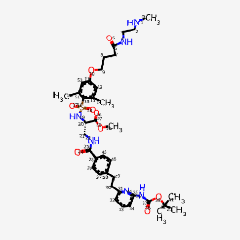 CNCCNC(=O)CCCOc1cc(C)c(S(=O)(=O)N[C@@H](CNC(=O)c2ccc(CCc3cccc(NC(=O)OC(C)(C)C)n3)cc2)C(=O)OC)c(C)c1